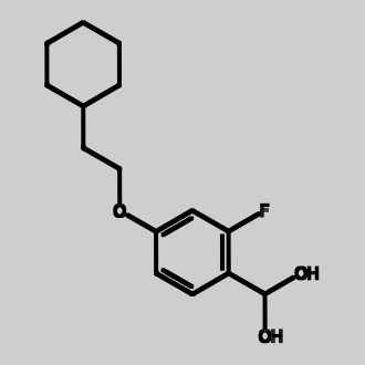 OC(O)c1ccc(OCCC2CCCCC2)cc1F